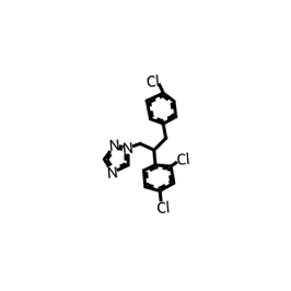 Clc1ccc(CC(Cn2cncn2)c2ccc(Cl)cc2Cl)cc1